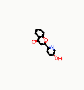 O=c1cc(-c2ccc(O)cn2)oc2ccccc12